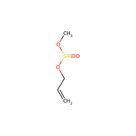 C=CCOS(=O)OC